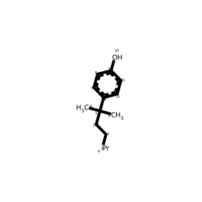 CC(C)CCC(C)(C)c1ccc(O)cc1